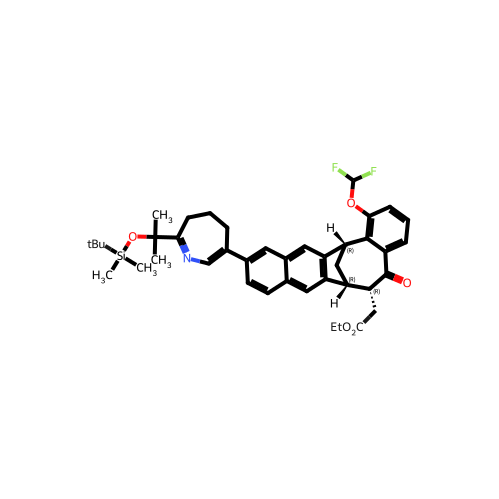 CCOC(=O)C[C@H]1C(=O)c2cccc(OC(F)F)c2[C@@H]2C[C@H]1c1cc3ccc(C4=CN=C(C(C)(C)O[Si](C)(C)C(C)(C)C)CCC4)cc3cc12